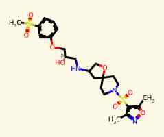 Cc1noc(C)c1S(=O)(=O)N1CCC2(CC1)CC(NC[C@H](O)COc1cccc(S(C)(=O)=O)c1)CO2